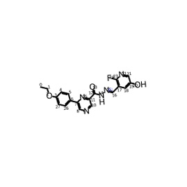 CCOc1ccc(-c2cncc(C(=O)N/N=C/c3cc(O)cnc3F)n2)cc1